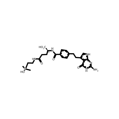 C[Si](C)(O)CCNC(=O)CC[C@H](NC(=O)c1ccc(CCc2c[nH]c3nc(N)[nH]c(=O)c23)cc1)C(=O)O